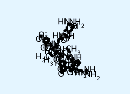 [2H]N(CC[C]=O)C(=O)[C@@H](CCCNC(=N)N)NC(=O)CCNC(=O)[C@H](CNc1ccc([N+](=O)[O-])cc1[N+](=O)[O-])NC(=O)[C@H](CC(C)C)NC(=O)CNC(=O)[C@H](CC(C)C)NC(=O)[C@@H]1CCCN1C(=O)[C@](N)(CCCNC(=N)N)C(=O)Cc1cc(=O)oc2cc(OC)ccc12